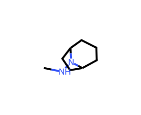 CNN1C2CCCC1CC2